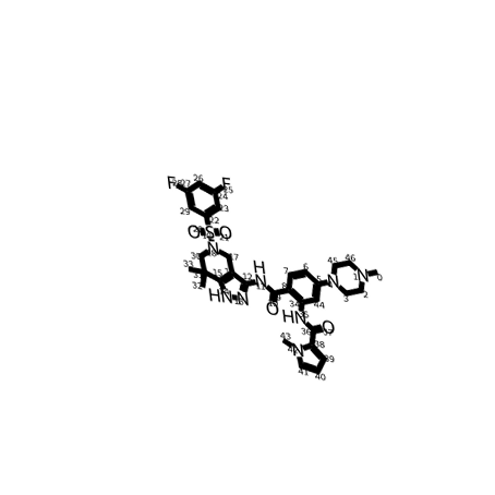 CN1CCN(c2ccc(C(=O)Nc3n[nH]c4c3CN(S(=O)(=O)c3cc(F)cc(F)c3)CC4(C)C)c(NC(=O)c3cccn3C)c2)CC1